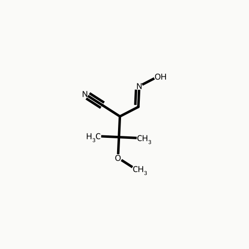 COC(C)(C)C(C#N)C=NO